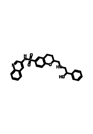 O=S(=O)(Nc1cnc2ccccc2c1)c1ccc2c(c1)CCC(CNCC(O)c1ccccc1)O2